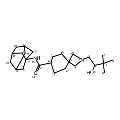 CC(C)(C)C(O)CN1CC2(CCC(C(=O)NC34CC5CC(CC(C5)C3)C4)CC2)C1